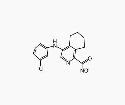 O=NC(=O)c1ncc(Nc2cccc(Cl)c2)c2c1CCCC2